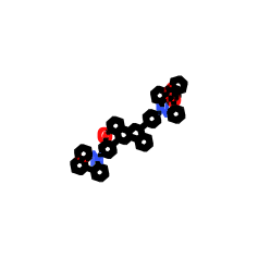 c1ccc(-c2ccccc2N(c2ccccc2)c2ccc3c(c2)Oc2cccc4c2c-3cc2c3ccccc3c(-c3ccc(N(c5ccccc5-c5ccccc5)c5cccc6c5oc5ccccc56)cc3)cc42)cc1